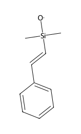 C[Si](C)([O])/C=C/c1ccccc1